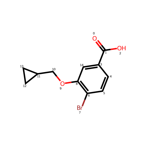 O=C(O)c1ccc(Br)c(OCC2CC2)c1